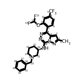 Cc1cc2c(-c3ccc(C(F)(F)F)cc3OC(F)F)nnc(N[C@@H]3CCCN(Cc4ccccc4)C3)n2n1